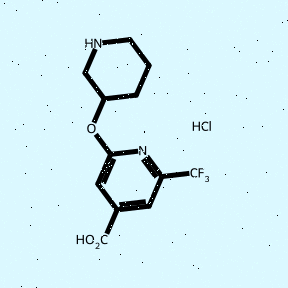 Cl.O=C(O)c1cc(OC2CCCNC2)nc(C(F)(F)F)c1